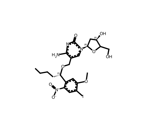 CCCC[C@H](OCc1cn([C@H]2C[C@@H](O)C(CO)O2)c(=O)nc1N)c1cc(OC)c(I)cc1[N+](=O)[O-]